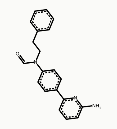 Nc1cccc(-c2ccc(N(C=O)CCc3ccccc3)cc2)n1